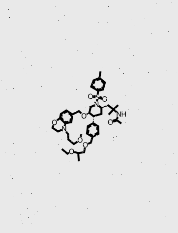 CCOC(C)COCc1ccc([C@H]2C[C@H](CC(C)(C)NC(C)=O)N(S(=O)(=O)c3ccc(C)cc3)C[C@@H]2OCc2ccc3c(c2)N(CCCOC)CCO3)cc1